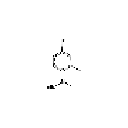 CCCCN(C)c1ccc(C(C)C)cc1C